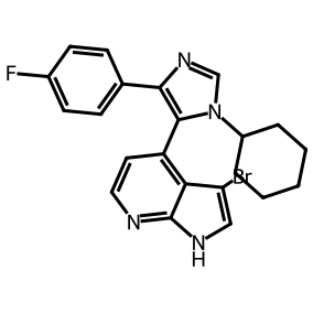 Fc1ccc(-c2ncn(C3CCCCC3)c2-c2ccnc3[nH]cc(Br)c23)cc1